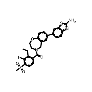 CCc1c(C(=O)N2CCOc3ccc(-c4ccc5nc(N)sc5c4)cc3C2)ccc(S(C)(=O)=O)c1F